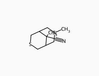 CN1CC2CSCC(C1)C2(C)C#N